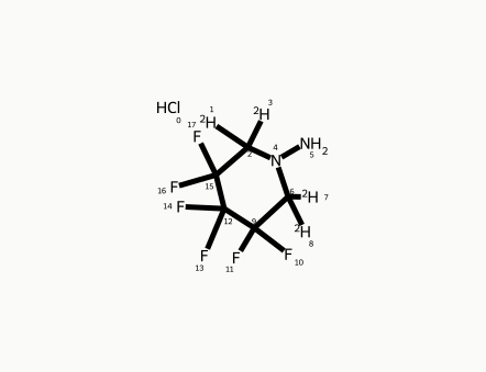 Cl.[2H]C1([2H])N(N)C([2H])([2H])C(F)(F)C(F)(F)C1(F)F